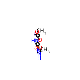 COc1ccc(C(=O)Nc2ccc(S(=O)(=O)N3CCNC[C@@H]3C)cc2)cc1I